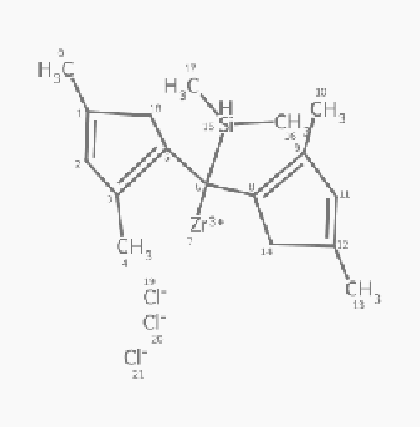 CC1=CC(C)=C([C]([Zr+3])(C2=C(C)C=C(C)C2)[SiH](C)C)C1.[Cl-].[Cl-].[Cl-]